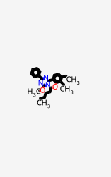 CCCCCCOc1c(-c2nc(OC)nc(-c3ccccc3)n2)ccc(CC)c1CC